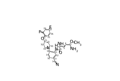 CO/C(N)=C/C=C(\N)C(=O)Nc1cc(C#N)ccc1N1CCC(Oc2ccc(F)cc2F)CC1